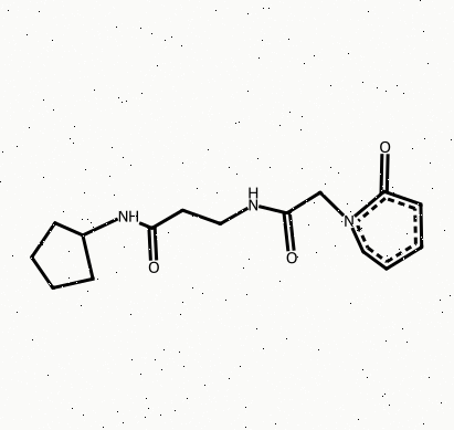 O=C(Cn1ccccc1=O)NCCC(=O)NC1CCCC1